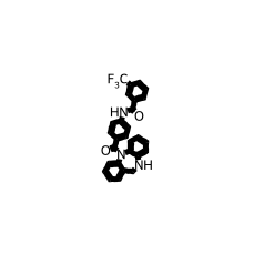 O=C(Nc1ccc(C(=O)N2c3ccccc3CNc3ccccc32)cc1)c1cccc(C(F)(F)F)c1